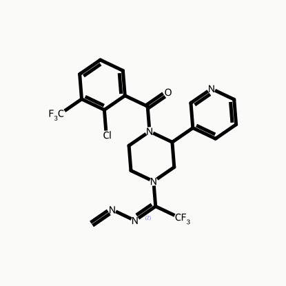 C=N/N=C(\N1CCN(C(=O)c2cccc(C(F)(F)F)c2Cl)C(c2cccnc2)C1)C(F)(F)F